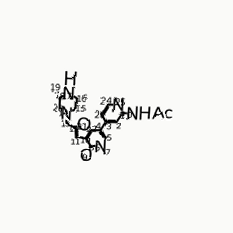 CC(=O)Nc1cc(-c2cn(C)c(=O)c3cc(CN4CCN[C@@H](C)C4)oc23)ccn1